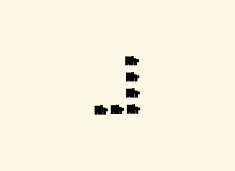 [Rh].[Rh].[Rh].[Rh].[Rh].[Rh]